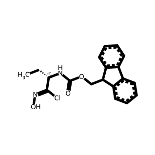 CC[C@H](NC(=O)OCC1c2ccccc2-c2ccccc21)C(Cl)=NO